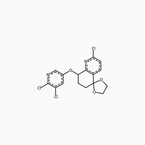 Clc1ccc2c(n1)C(Oc1cnc(Cl)c(Cl)c1)CCC21OCCO1